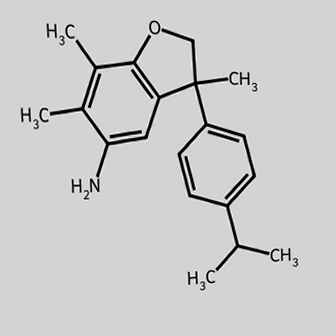 Cc1c(N)cc2c(c1C)OCC2(C)c1ccc(C(C)C)cc1